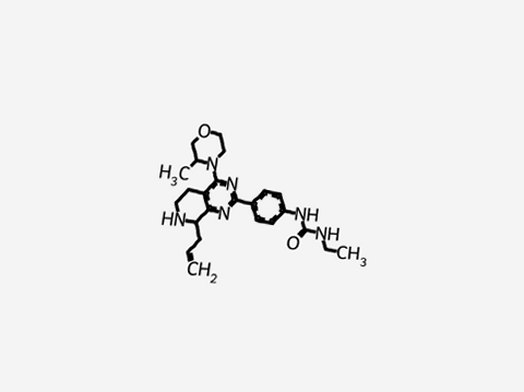 C=CCC1NCCc2c1nc(-c1ccc(NC(=O)NCC)cc1)nc2N1CCOCC1C